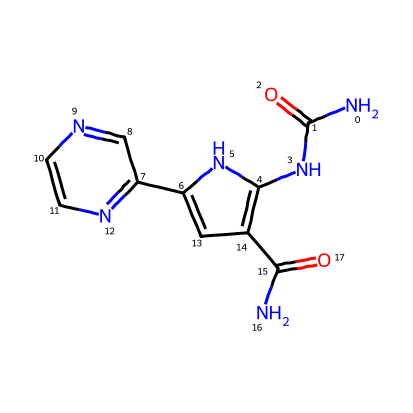 NC(=O)Nc1[nH]c(-c2cnccn2)cc1C(N)=O